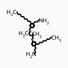 C=C(/C=C/c1ccc(CCCN)c(CCCCCCCCC)c1)CC(=C)/C=C/c1ccc(CCCN)c(CCCCCCCCCC)c1